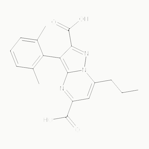 CCCc1cc(C(=O)O)nc2c(-c3c(C)cccc3C)c(C(=O)O)nn12